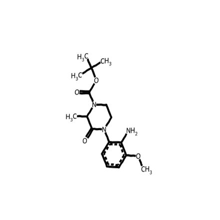 COc1cccc(N2CCN(C(=O)OC(C)(C)C)C(C)C2=O)c1N